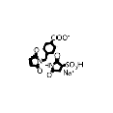 O=C([O-])C1CCC(CN2C(=O)C=CC2=O)CC1.O=C1CC(S(=O)(=O)O)C(=O)N1.[Na+]